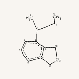 CCC(C)c1cccc2c1COC2